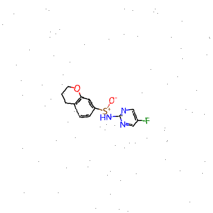 [O-][S+](Nc1ncc(F)cn1)c1ccc2c(c1)OCCC2